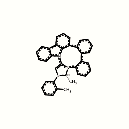 Cc1ccccc1N1C=c2n(c3ccccc3c3ccccc3c3cccc4c5ccccc5n2c34)[C@@H]1C